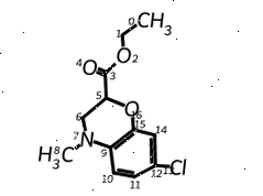 CCOC(=O)C1CN(C)c2ccc(Cl)cc2O1